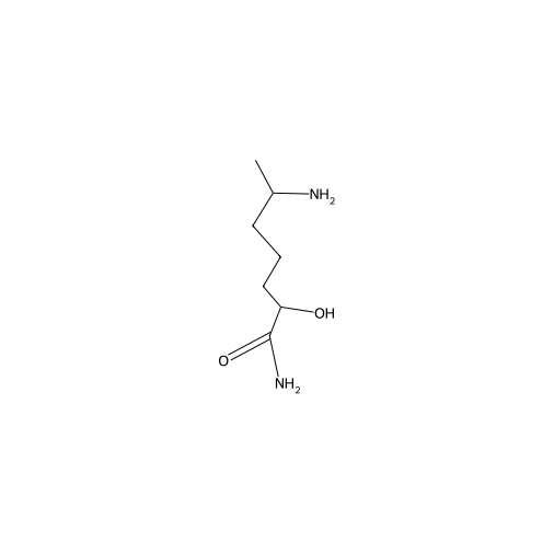 CC(N)CCCC(O)C(N)=O